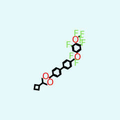 Fc1cc(OC(F)(F)c2ccc(-c3ccc(C4OCC(C5CCC5)CO4)cc3)cc2)cc(F)c1OC(F)(F)F